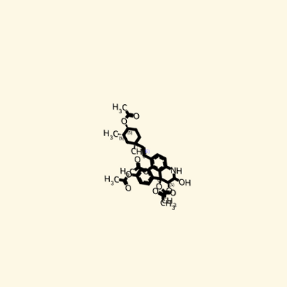 CC(=O)Oc1ccc([C@]2(OC(C)=O)c3c(ccc(/C=C/[C@]4(C)CC[C@H](OC(C)=O)[C@@H](C)C4)c3OC(C)=O)NC(O)[C@H]2OC(C)=O)cc1